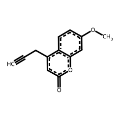 C#CCc1cc(=O)oc2cc(OC)ccc12